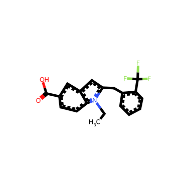 CCn1c(Cc2ccccc2C(F)(F)F)cc2cc(C(=O)O)ccc21